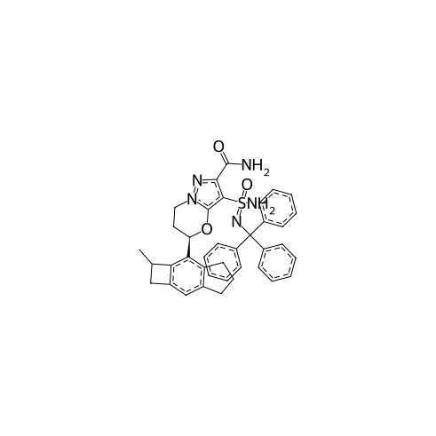 CC1Cc2cc3c(c([C@H]4CCn5nc(C(N)=O)c(S(N)(=O)=NC(c6ccccc6)(c6ccccc6)c6ccccc6)c5O4)c21)CCC3